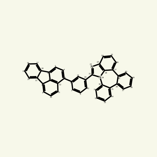 c1cc(-c2ccc3c4c(cccc24)-c2ccccc2-3)cc(-c2nc3cccc4c3n2-c2ccccc2-c2ccccc2-4)c1